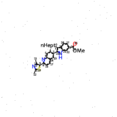 CCCCCCCc1c(-c2ccc3nc(-c4sc(C)nc4C)ccc3c2)[nH]c2cc(C(=O)OC)ccc12